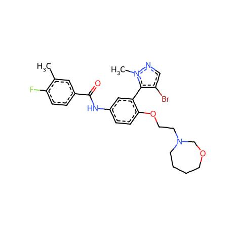 Cc1cc(C(=O)Nc2ccc(OCCN3CCCCOC3)c(-c3c(Br)cnn3C)c2)ccc1F